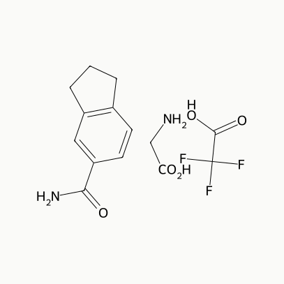 NC(=O)c1ccc2c(c1)CCC2.NCC(=O)O.O=C(O)C(F)(F)F